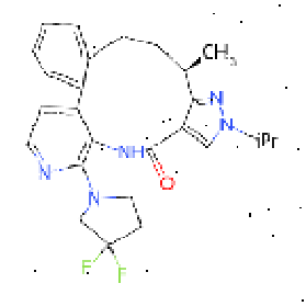 CC(C)n1cc2c(n1)[C@H](C)CCc1ccccc1-c1ccnc(N3CCC(F)(F)C3)c1NC2=O